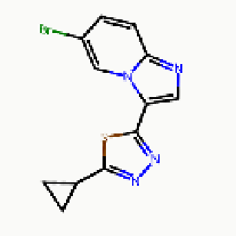 Brc1ccc2ncc(-c3nnc(C4CC4)s3)n2c1